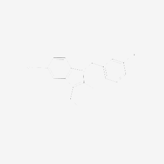 CCOC(=O)Cc1c(C)n(Cc2cccc(O)c2)c2ccc(OC)cc12